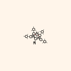 Cc1cc(C)c(-c2ccc3c(c2)c2cc(-c4c(C)cc(C)cc4C)ccc2n3-c2cc(C#N)cc(-n3c4ccc(-c5c(C)cc(C)cc5C)cc4c4cc(-c5c(C)cc(C)cc5C)ccc43)c2-c2ccncc2)c(C)c1